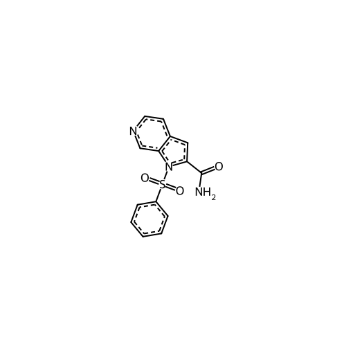 NC(=O)c1cc2ccncc2n1S(=O)(=O)c1ccccc1